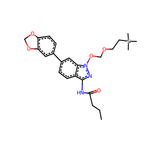 CCCC(=O)Nc1nn(OCOCC[Si](C)(C)C)c2cc(-c3ccc4c(c3)OCO4)ccc12